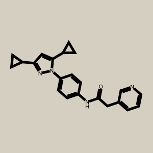 O=C(Cc1cccnc1)Nc1ccc(-n2nc(C3CC3)cc2C2CC2)cc1